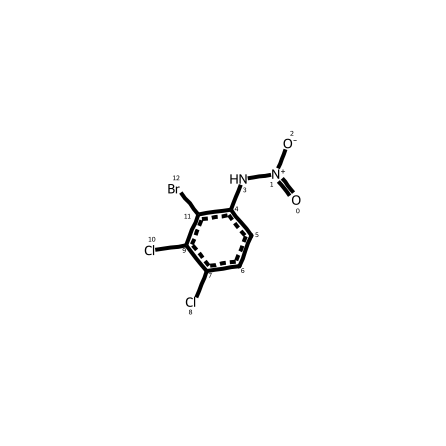 O=[N+]([O-])Nc1ccc(Cl)c(Cl)c1Br